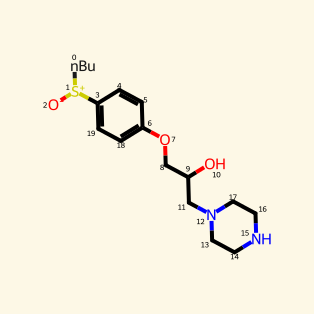 CCCC[S+]([O-])c1ccc(OCC(O)CN2CCNCC2)cc1